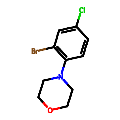 Clc1ccc(N2CCOCC2)c(Br)c1